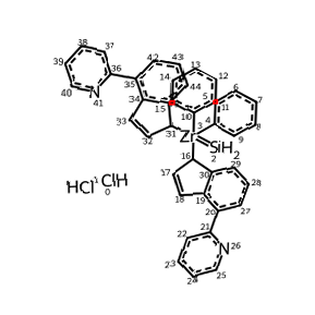 Cl.Cl.[SiH2]=[Zr]([c]1ccccc1)([c]1ccccc1)([CH]1C=Cc2c(-c3ccccn3)cccc21)[CH]1C=Cc2c(-c3ccccn3)cccc21